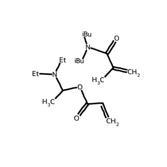 C=C(C)C(=O)N(C(C)CC)C(C)CC.C=CC(=O)OC(C)N(CC)CC